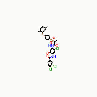 CCC(C(=O)Nc1cc(O)c(NC(=O)c2ccc(Cl)c(Cl)c2)cc1Cl)S(=O)(=O)c1ccc(Sc2cc(C)ccc2C)cc1